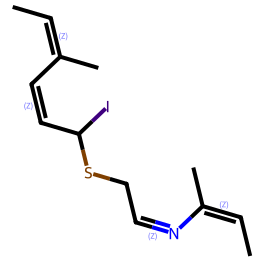 C/C=C(C)\C=C/C(I)SC/C=N\C(C)=C/C